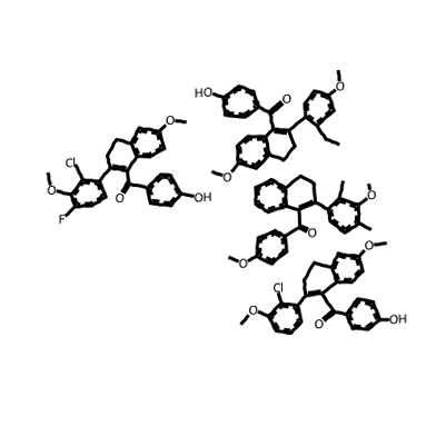 CCc1cc(OC)ccc1C1=C(C(=O)c2ccc(O)cc2)c2ccc(OC)cc2CC1.COc1ccc(C(=O)C2=C(c3ccc(C)c(OC)c3C)CCc3ccccc32)cc1.COc1ccc2c(c1)CCC(c1ccc(F)c(OC)c1Cl)=C2C(=O)c1ccc(O)cc1.COc1ccc2c(c1)CCC(c1cccc(OC)c1Cl)=C2C(=O)c1ccc(O)cc1